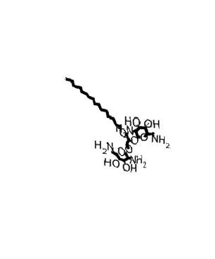 CCCCCCCCCCCCCCCCOCC(CO[C@@H]1OC(CN)[C@@H](O)[C@H](O)C1N)O[C@@H]1OC(CN)[C@@H](O)[C@H](O)C1N